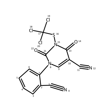 N#Cc1ccccc1-n1cc(C#N)c(=O)n(SC(Cl)(Cl)Cl)c1=O